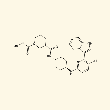 CC(C)(C)OC(=O)N1CCCC(C(=O)N[C@H]2CC[C@H](Nc3ncc(Cl)c(-c4c[nH]c5ccccc45)n3)CC2)C1